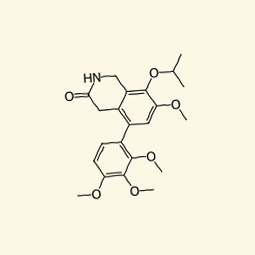 COc1cc(-c2ccc(OC)c(OC)c2OC)c2c(c1OC(C)C)CNC(=O)C2